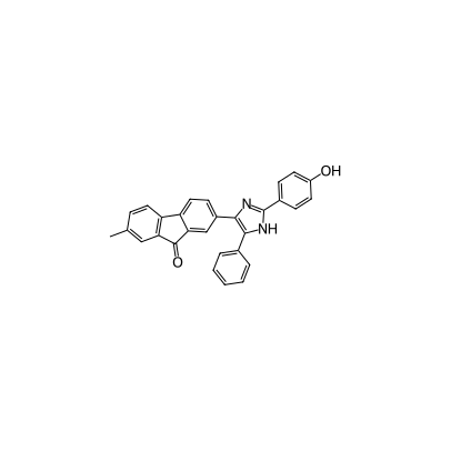 Cc1ccc2c(c1)C(=O)c1cc(-c3nc(-c4ccc(O)cc4)[nH]c3-c3ccccc3)ccc1-2